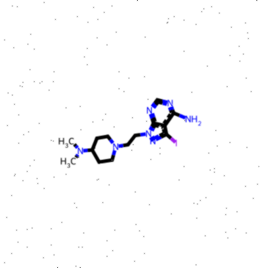 CN(C)C1CCN(CCn2nc(I)c3c(N)ncnc32)CC1